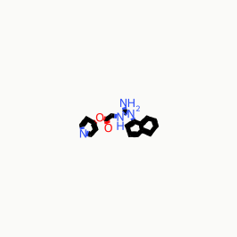 NC(=Nc1cccc2ccccc12)NCC(=O)Oc1ccncc1